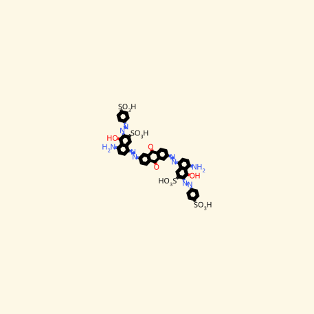 Nc1ccc(N=Nc2ccc3c(c2)C(=O)c2ccc(N=Nc4ccc(N)c5c(O)c(N=Nc6ccc(S(=O)(=O)O)cc6)c(S(=O)(=O)O)cc45)cc2C3=O)c2cc(S(=O)(=O)O)c(N=Nc3ccc(S(=O)(=O)O)cc3)c(O)c12